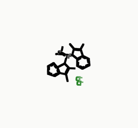 CC1=C(C)[CH]([Ti+2]([CH]2C(C)=C(C)c3ccccc32)=[Si](C)C)c2ccccc21.[Cl-].[Cl-]